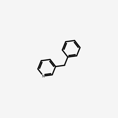 [CH](c1ccccc1)c1cccnc1